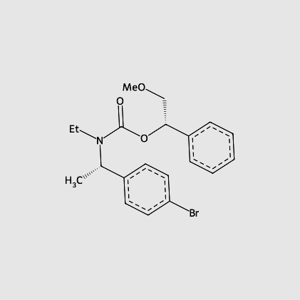 CCN(C(=O)O[C@H](COC)c1ccccc1)[C@@H](C)c1ccc(Br)cc1